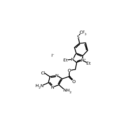 CCn1c(COC(=O)c2nc(Cl)c(N)nc2N)[n+](CC)c2ccc(SC(F)(F)F)cc21.[I-]